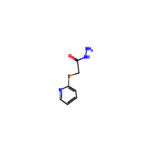 NNC(=O)CSc1ccccn1